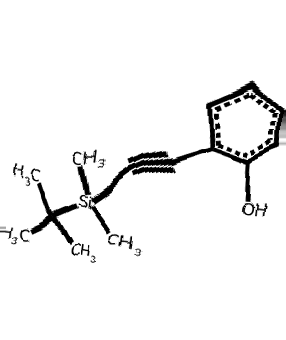 CC(C)(C)[Si](C)(C)C#Cc1ccccc1O